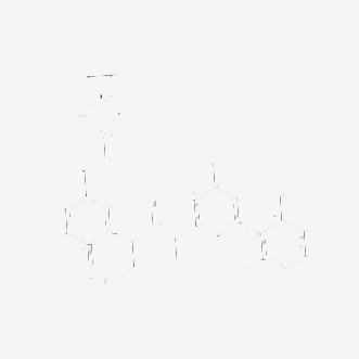 Cc1cc(C)c(-c2cc(C)c(F)c(C(CC(=O)O)C(N)C(CC(C)C)n3cc(CCN4CC5(CC5)C4)c(C(F)(F)F)cc3=O)c2)c(C)c1